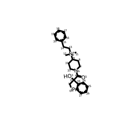 CC(C)CC(O)(C(=O)N1CCC([N+](C)(C)CCc2ccccc2)CC1)c1ccccc1